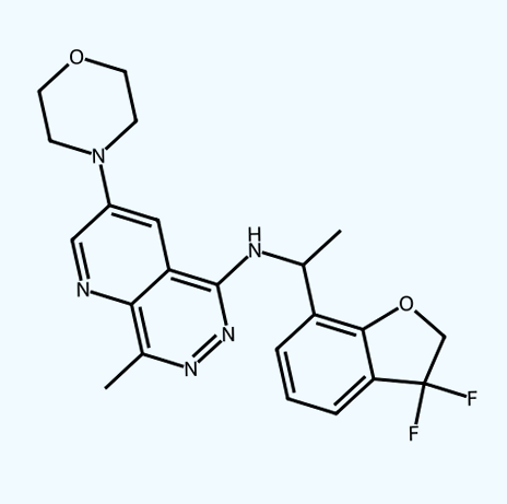 Cc1nnc(NC(C)c2cccc3c2OCC3(F)F)c2cc(N3CCOCC3)cnc12